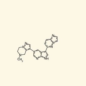 CN1CCn2ncc(-c3cnc4[nH]cc(-c5ccc6nccn6n5)c4c3)c2C1